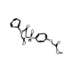 COC(=O)COc1ccc(S(=O)(=O)N2C(=O)CN(c3ccccc3)C2=O)cc1